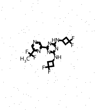 CC(F)(F)c1cncc(-c2nc(NC3CC(F)(F)C3)nc(NC3CC(F)(F)C3)n2)n1